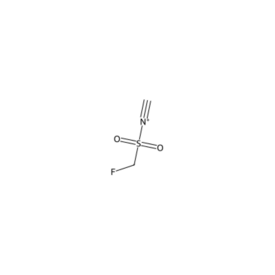 C#[N+]S(=O)(=O)CF